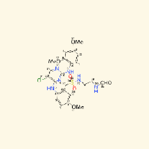 COc1ccc(Nc2nc(Nc3ccc(OC)cc3OC)ncc2Cl)c(CS(=O)(=O)NCCNC=O)c1